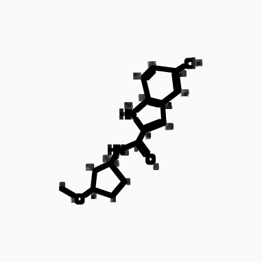 COC1CC[C@H](NC(=O)c2cc3cc(Cl)ccc3[nH]2)C1